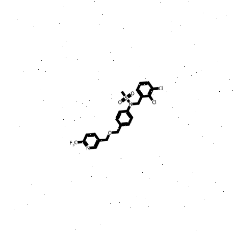 CS(=O)(=O)N(Cc1cccc(Cl)c1Cl)c1ccc(COCc2ccc(C(F)(F)F)nc2)cc1